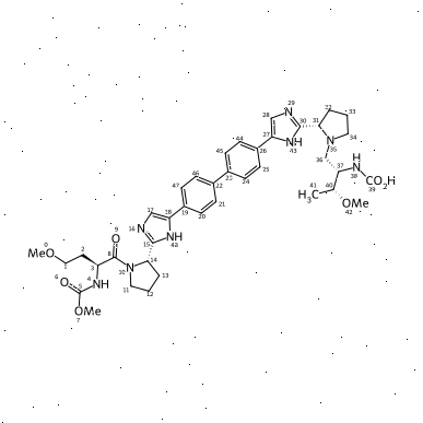 COCC[C@H](NC(=O)OC)C(=O)N1CCC[C@H]1c1ncc(-c2ccc(-c3ccc(-c4cnc([C@@H]5CCCN5C[C@H](NC(=O)O)[C@@H](C)OC)[nH]4)cc3)cc2)[nH]1